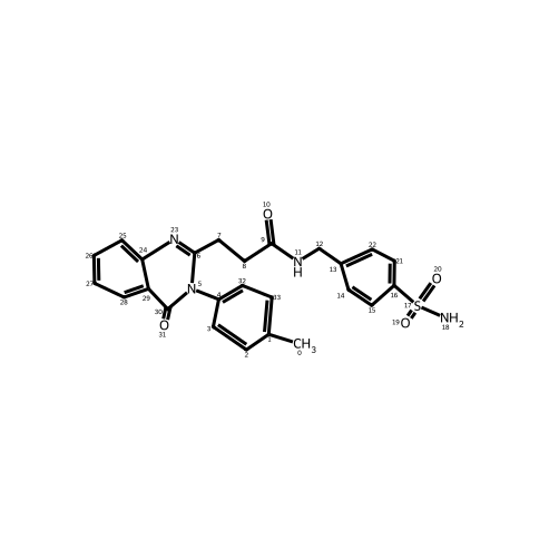 Cc1ccc(-n2c(CCC(=O)NCc3ccc(S(N)(=O)=O)cc3)nc3ccccc3c2=O)cc1